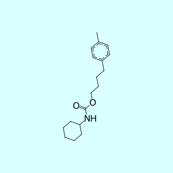 Cc1ccc(CCCCOC(=O)NC2CCCCC2)cc1